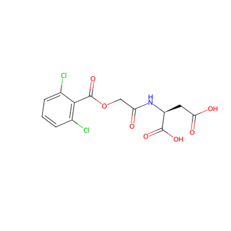 O=C(O)C[C@H](NC(=O)COC(=O)c1c(Cl)cccc1Cl)C(=O)O